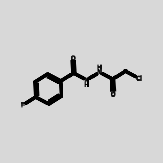 O=C(CCl)NNC(=O)c1ccc(F)cc1